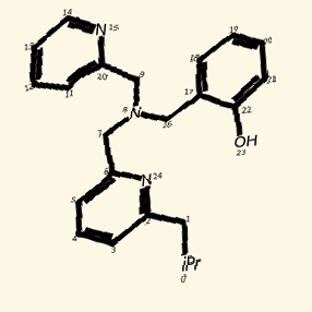 CC(C)Cc1cccc(CN(Cc2ccccn2)Cc2ccccc2O)n1